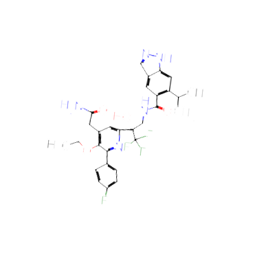 CCOc1c(CC(N)=O)cc([C@@](O)(CNC(=O)c2cc3cn[nH]c3cc2C(C)C)C(F)(F)F)nc1-c1ccc(F)cc1